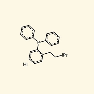 CC(C)CCc1ccccc1P(c1ccccc1)c1ccccc1.I